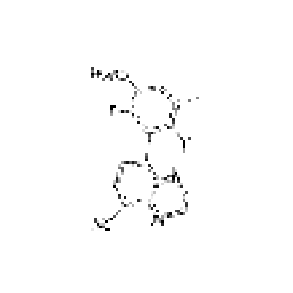 COc1cc(C)c(F)c(-c2ccc(C#N)c3nccnc23)c1F